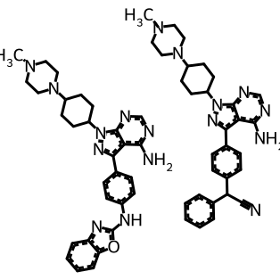 CN1CCN(C2CCC(n3nc(-c4ccc(C(C#N)c5ccccc5)cc4)c4c(N)ncnc43)CC2)CC1.CN1CCN(C2CCC(n3nc(-c4ccc(Nc5nc6ccccc6o5)cc4)c4c(N)ncnc43)CC2)CC1